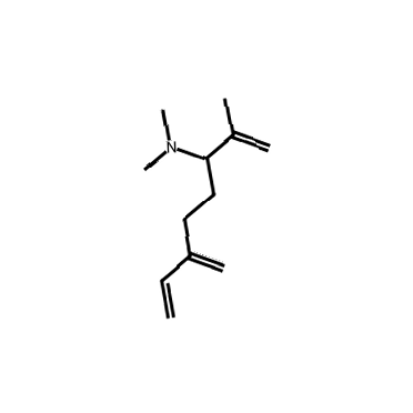 C=CC(=C)CCC(C(=C)C)N(C)C